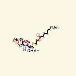 CCCCCCCCCCCCCCCC(=O)OCCSC[C@H](NC(C)=O)C(=O)N[C@@H](CO)C(=O)OC